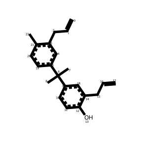 C=CCc1cc(C(C)(C)c2ccc(O)c(CC=C)c2)ccc1C